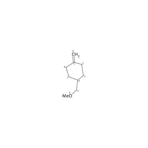 C=C1CCC(COC)CC1